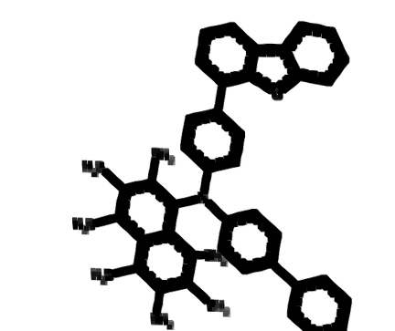 Bc1c(B)c(B)c2c(N(c3ccc(-c4ccccc4)cc3)c3ccc(-c4cccc5c4oc4ccccc45)cc3)c(B)c(B)c(B)c2c1B